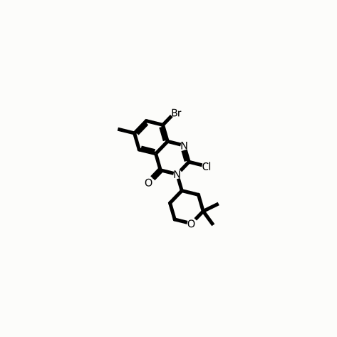 Cc1cc(Br)c2nc(Cl)n(C3CCOC(C)(C)C3)c(=O)c2c1